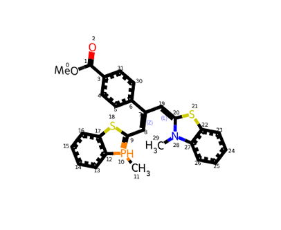 COC(=O)c1ccc(C(=C\C2=[PH](C)c3ccccc3S2)/C=C2/Sc3ccccc3N2C)cc1